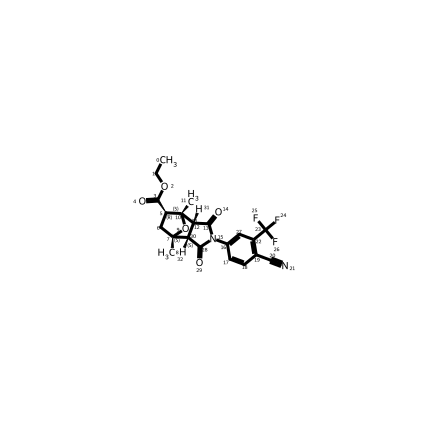 CCOC(=O)[C@@H]1C[C@]2(C)O[C@@]1(C)[C@@H]1C(=O)N(c3ccc(C#N)c(C(F)(F)F)c3)C(=O)[C@@H]12